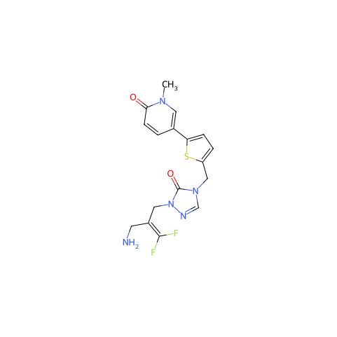 Cn1cc(-c2ccc(Cn3cnn(CC(CN)=C(F)F)c3=O)s2)ccc1=O